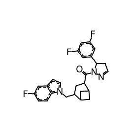 O=C(C1CC(Cn2ccc3cc(F)ccc32)C2CC1C2)N1N=CCC1c1cc(F)cc(F)c1